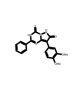 COc1ccc(-c2c(=O)[nH]n3c(=S)[nH]c(-c4ccccc4)nc23)cc1OC